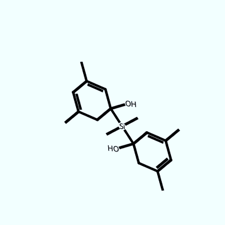 CC1=CC(O)([Si](C)(C)C2(O)C=C(C)C=C(C)C2)CC(C)=C1